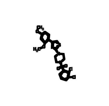 COc1ccc(-c2csc(N3CCN(S(=O)(=O)c4cccc(Cl)c4Cl)CC3)n2)c(OC)c1